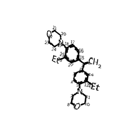 C=C(c1ccc(N2CCOCC2)c(CC)c1)c1ccc(N2CCOCC2)c(CC)c1